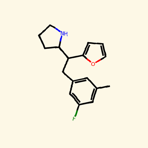 Cc1cc(F)cc(CC(c2ccco2)C2CCCN2)c1